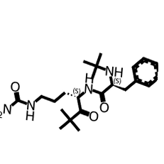 CC(C)(C)N[C@@H](Cc1ccccc1)C(=O)N[C@@H](CCCNC(N)=O)C(=O)C(C)(C)C